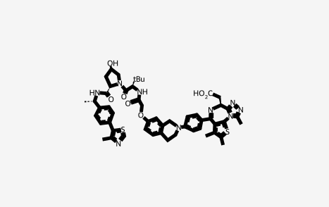 Cc1ncsc1-c1ccc([C@H](C)NC(=O)[C@@H]2C[C@@H](O)CN2C(=O)[C@@H](NC(=O)COc2ccc3c(c2)CN(c2ccc(C4=N[C@@H](CC(=O)O)c5nnc(C)n5-c5sc(C)c(C)c54)cc2)CC3)C(C)(C)C)cc1